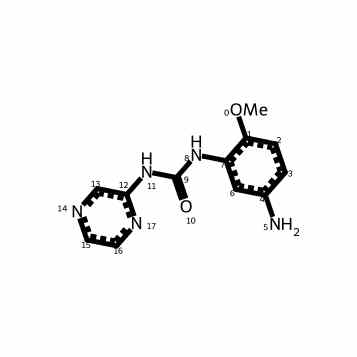 COc1ccc(N)cc1NC(=O)Nc1cnccn1